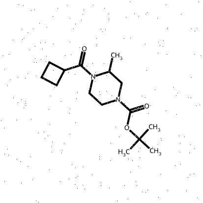 CC1CN(C(=O)OC(C)(C)C)CCN1C(=O)C1CCC1